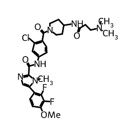 COc1ccc(-c2cnc(C(=O)Nc3ccc(C(=O)N4CCC(NC(=O)CCN(C)C)CC4)c(Cl)c3)n2C)c(F)c1F